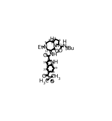 CC[C@H](C)NC(=O)[C@@H]1CC[C@@H]2CCN(CC)C[C@H](NC(=O)c3cc4cc(C(=O)P(C)(C)=O)ccc4[nH]3)C(=O)N21